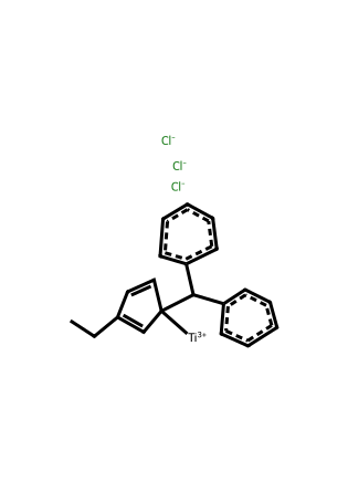 CCC1=C[C]([Ti+3])(C(c2ccccc2)c2ccccc2)C=C1.[Cl-].[Cl-].[Cl-]